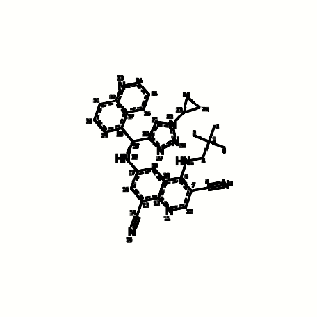 CC(C)(C)CNc1c(C#N)cnc2c(C#N)cc(N[C@H](c3cn(C4CC4)nn3)c3cccc4ncccc34)cc12